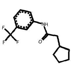 O=C(CC1CCCC1)Nc1[c]ccc(C(F)(F)F)c1